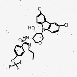 CCCN=S(=O)(N[C@H]1COC[C@H](n2c3ccc(Cl)cc3c3cc(Cl)ccc32)[C@H]1O)c1ccc(OC(F)(F)F)cc1